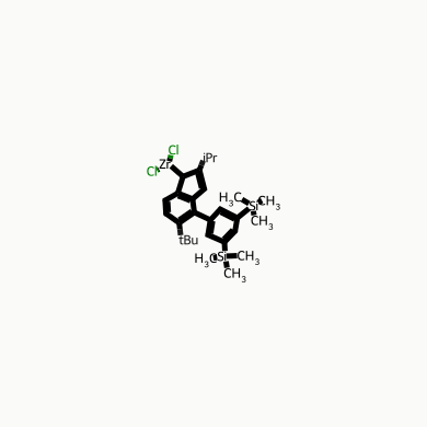 CC(C)C1=Cc2c(ccc(C(C)(C)C)c2-c2cc([Si](C)(C)C)cc([Si](C)(C)C)c2)[CH]1[Zr]([Cl])[Cl]